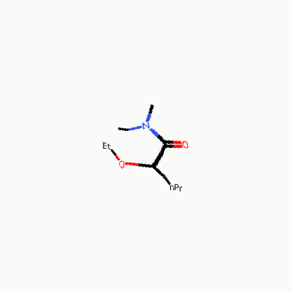 CCCC(OCC)C(=O)N(C)C